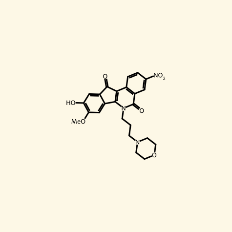 COc1cc2c(cc1O)C(=O)c1c-2n(CCCN2CCOCC2)c(=O)c2cc([N+](=O)[O-])ccc12